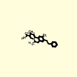 C=C1C=C2c3cc(CC)c(CCc4ccccc4)cc3CC(C)N2C=C1C(=C)CCC